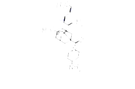 C=C(/C=C\C=C/C)[C@]12CC3CC(C(=O)N4CCC(N)CC4)(C[C@](C)(C3)C1)C2